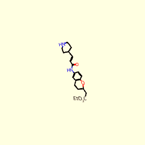 CCOC(=O)CC1CCc2cc(NC(=O)C=CC3CCNCC3)ccc2O1